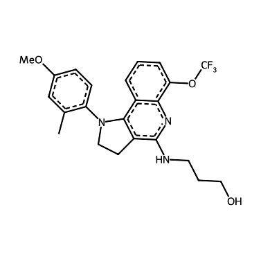 COc1ccc(N2CCc3c(NCCCO)nc4c(OC(F)(F)F)cccc4c32)c(C)c1